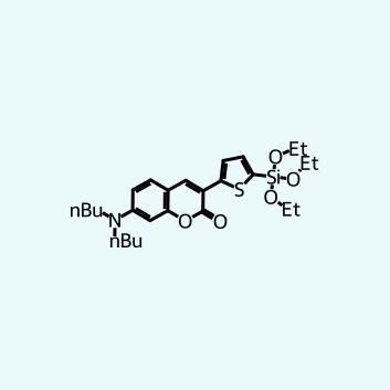 CCCCN(CCCC)c1ccc2cc(-c3ccc([Si](OCC)(OCC)OCC)s3)c(=O)oc2c1